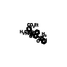 CCOC(=O)N1CC[C@@H](NS(=O)(=O)c2ccc(NC(=O)c3cccnc3C)c3ccccc23)[C@@H](C)C1